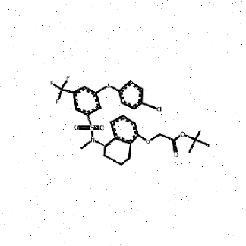 CN([C@@H]1CCCc2c(OCC(=O)OC(C)(C)C)cccc21)S(=O)(=O)c1cc(Sc2ccc(Cl)cc2)cc(C(F)(F)F)c1